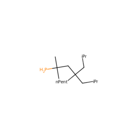 CCCCCC(CC(C)C)(CC(C)C)CC(C)(C)P